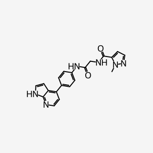 Cn1nccc1C(=O)NCC(=O)Nc1ccc(-c2ccnc3[nH]ccc23)cc1